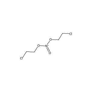 O=[N+](OCCCl)OCCCl